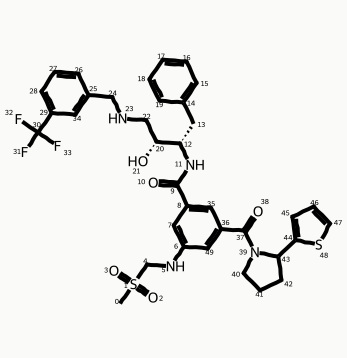 CS(=O)(=O)CNc1cc(C(=O)N[C@@H](Cc2ccccc2)[C@H](O)CNCc2cccc(C(F)(F)F)c2)cc(C(=O)N2CCCC2c2cccs2)c1